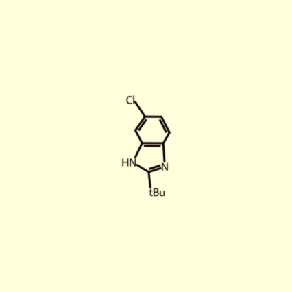 CC(C)(C)c1nc2ccc(Cl)cc2[nH]1